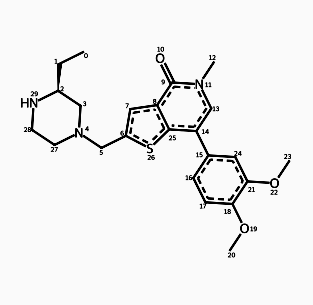 CC[C@H]1CN(Cc2cc3c(=O)n(C)cc(-c4ccc(OC)c(OC)c4)c3s2)CCN1